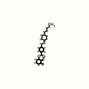 CCCCCC1CCC(CCc2ccc(C(=O)Oc3cccc(F)c3F)cc2)CC1